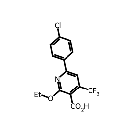 CCOc1nc(-c2ccc(Cl)cc2)cc(C(F)(F)F)c1C(=O)O